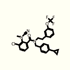 CN(C#N)c1c(Cl)cccc1C(=O)N(CCc1cccc(OC(F)(F)F)c1)Cc1ccc(C2CC2)cc1